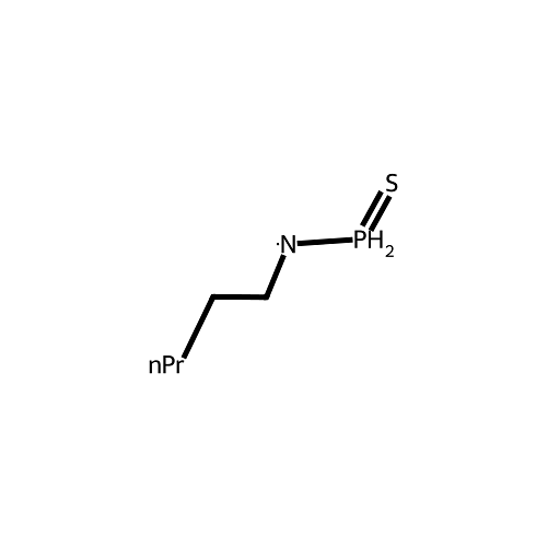 CCCCC[N][PH2]=S